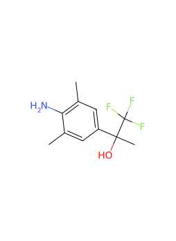 Cc1cc(C(C)(O)C(F)(F)F)cc(C)c1N